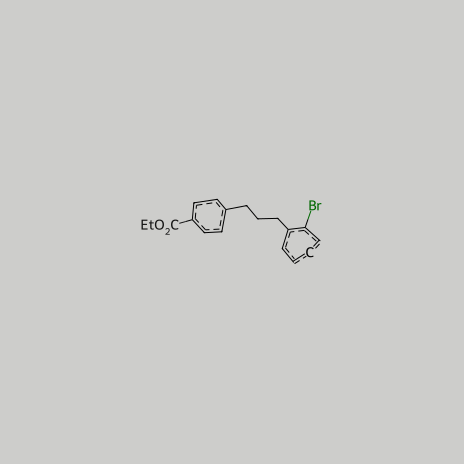 CCOC(=O)c1ccc(CCCc2ccccc2Br)cc1